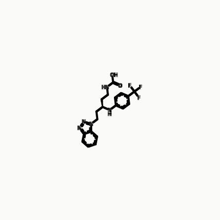 O=C(O)NCC[C@H](CCn1nnc2ccccc21)Nc1ccc(C(F)(F)F)cc1